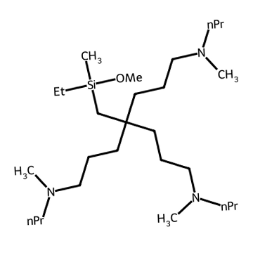 CCCN(C)CCCC(CCCN(C)CCC)(CCCN(C)CCC)C[Si](C)(CC)OC